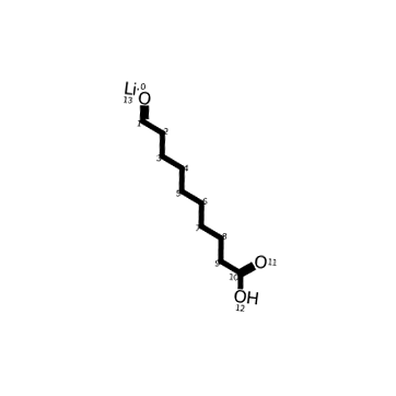 O=CCCCCCCCCC(=O)O.[Li]